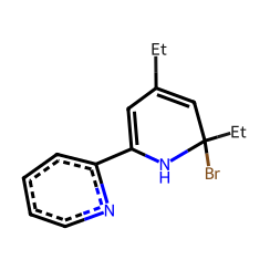 CCC1=CC(Br)(CC)NC(c2ccccn2)=C1